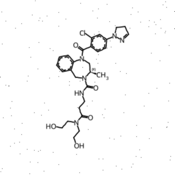 C[C@@H]1CN(C(=O)c2ccc(N3CCC=N3)cc2Cl)c2ccccc2CN1C(=O)NCCC(=O)N(CCO)CCO